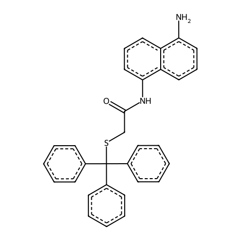 Nc1cccc2c(NC(=O)CSC(c3ccccc3)(c3ccccc3)c3ccccc3)cccc12